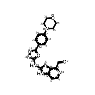 O=Cc1nccc2[nH]c(Nc3nnc(-c4ccc(N5CCOCC5)cc4)o3)nc12